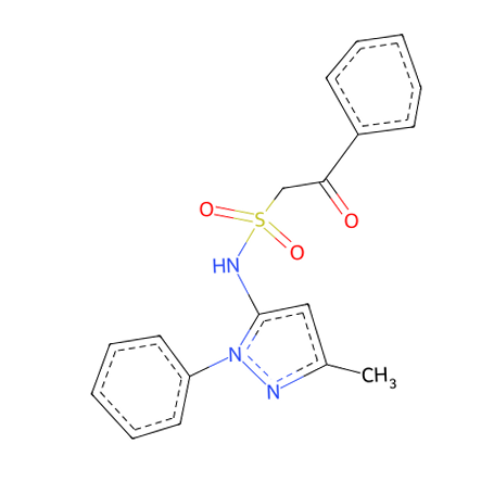 Cc1cc(NS(=O)(=O)CC(=O)c2ccccc2)n(-c2ccccc2)n1